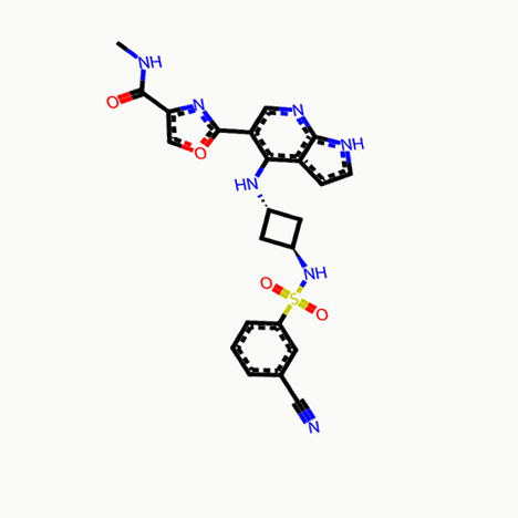 CNC(=O)c1coc(-c2cnc3[nH]ccc3c2N[C@H]2C[C@H](NS(=O)(=O)c3cccc(C#N)c3)C2)n1